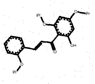 CC(C)Oc1cc(O)c(C(=O)C=Cc2ccccc2OC(C)C)c(OC(C)C)c1